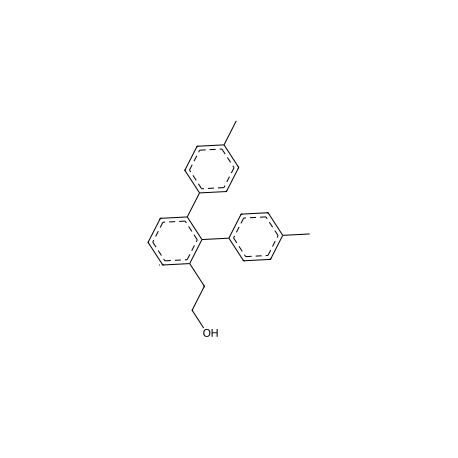 Cc1ccc(-c2cc[c]c(CCO)c2-c2ccc(C)cc2)cc1